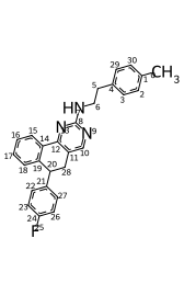 Cc1ccc(CCNc2ncc3c(n2)-c2ccccc2C(c2ccc(F)cc2)C3)cc1